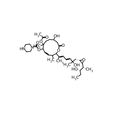 CC[C@H](O)[C@@H](C)[C@@H]1O[C@H]1CC(C)(O)/C=C/C=C(\C)C1OC(=O)CC(O)CCC(C)(OC(C)=O)C(OC(=O)N2CCNCC2)C=CC1C